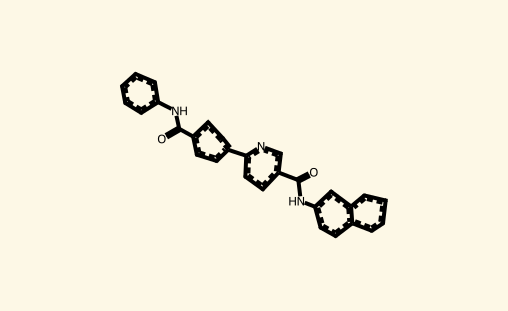 O=C(Nc1ccccc1)c1ccc(-c2ccc(C(=O)Nc3ccc4ccccc4c3)cn2)cc1